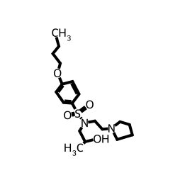 CCCCOc1ccc(S(=O)(=O)N(CCN2CCCC2)CC(C)O)cc1